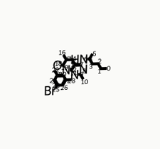 CCCCC(C)Nc1nc(C)nc2c1CC(C)C(=O)N2c1c(C)cc(Br)cc1C